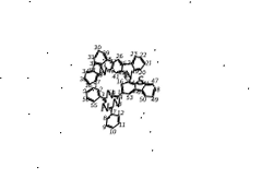 c1ccc(-c2nc(-c3ccccc3)nc(-c3cc(-n4c5ccccc5c5cc6c7cccc8c9ccccc9n(c6cc54)c87)c4sc5ccccc5c4c3)n2)cc1